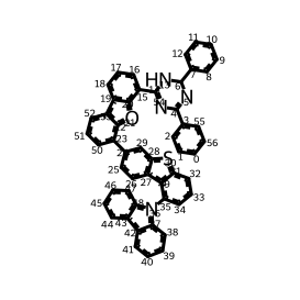 c1ccc(C2=NC(c3ccccc3)NC(c3cccc4c3oc3c(-c5ccc6c(c5)sc5cccc(-n7c8ccccc8c8ccccc87)c56)cccc34)=N2)cc1